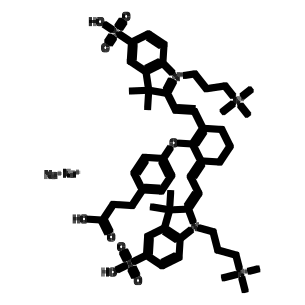 CC1(C)C(C=CC2=C(Oc3ccc(CCC(=O)O)cc3)/C(=C/C=C3/N(CCC[N+](C)(C)C)c4ccc(S(=O)(=O)O)cc4C3(C)C)CCC2)=[N+](CCC[N+](C)(C)C)c2ccc(S(=O)(=O)O)cc21.[Na+].[Na+]